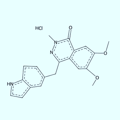 COc1cc2c(Cc3ccc4[nH]ccc4c3)nn(C)c(=O)c2cc1OC.Cl